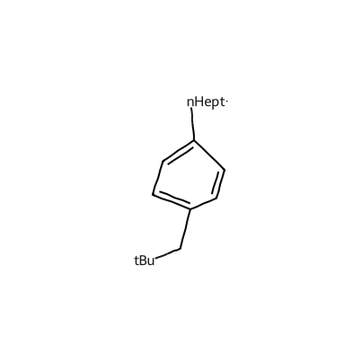 CCCCCC[CH]c1ccc(CC(C)(C)C)cc1